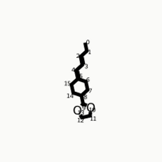 CCC=CC=C1CCC(C2OCCO2)CC1